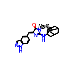 COC12CC3CC(CC(NC4=N/C(=C\c5ccc6[nH]ncc6c5)C(=O)N4C)(C3)C1)C2